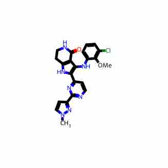 COc1c(Cl)cccc1Nc1c(-c2ccnc(-c3ccn(C)n3)n2)[nH]c2c1C(=O)NCC2